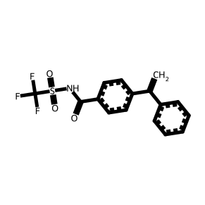 C=C(c1ccccc1)c1ccc(C(=O)NS(=O)(=O)C(F)(F)F)cc1